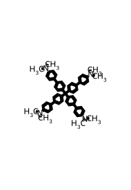 CN(C)c1ccc(-c2ccc(C(c3ccc(-c4ccc(N(C)C)cc4)cc3)(c3ccc(-c4ccc(N(C)C)cc4)cc3)c3ccc(-c4ccc(N(C)C)cc4)cc3)cc2)cc1